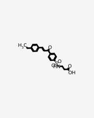 CCc1ccc(/C=C/C(=O)c2ccc(S(=O)(=O)NCCC(=O)O)cc2)cc1